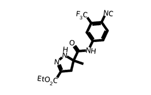 [C-]#[N+]c1ccc(NC(=O)C2(C)CC(C(=O)OCC)=NN2)cc1C(F)(F)F